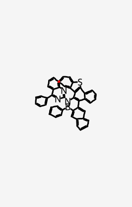 c1ccc(B2c3cc4ccccc4cc3-c3c(c4c5ccccc5sc4c4ccccc34)N2c2nc(-c3ccccc3)c3ccccc3n2)cc1